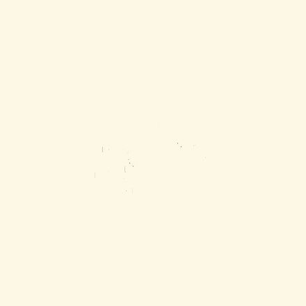 C[SiH](C)N(CCCN1C(=O)C2CCCC2C1=O)[SiH](C)C